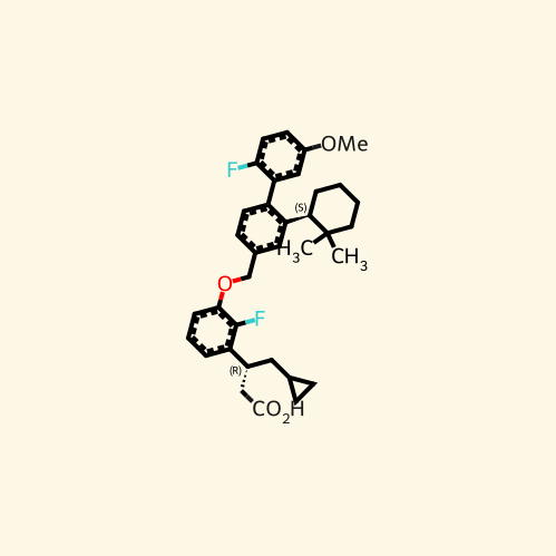 COc1ccc(F)c(-c2ccc(COc3cccc([C@@H](CC(=O)O)CC4CC4)c3F)cc2[C@H]2CCCCC2(C)C)c1